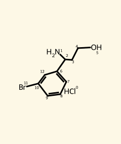 Cl.NC(CCO)c1cccc(Br)c1